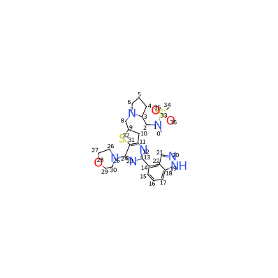 CN(CC1CCCN1CC1Cc2nc(-c3cccc4[nH]ncc34)nc(N3CCOCC3)c2S1)S(C)(=O)=O